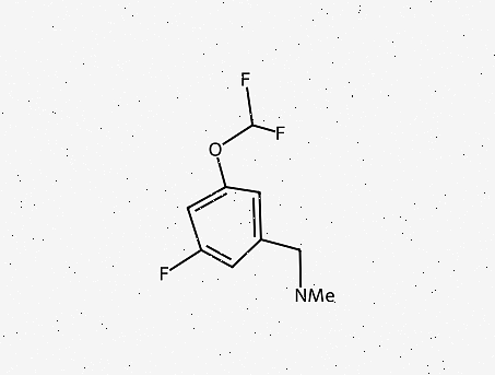 CNCc1cc(F)cc(OC(F)F)c1